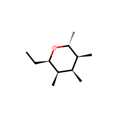 CC[C@H]1O[C@H](C)[C@@H](C)[C@@H](C)[C@H]1C